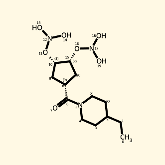 CCC1CCN(C(=O)[C@@H]2C[C@H](ON(O)O)[C@H](ON(O)O)C2)CC1